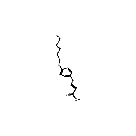 CCCCCCOc1ccc(CC=CC(=O)O)cc1